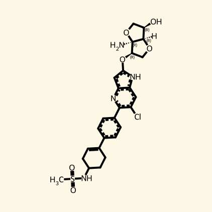 CS(=O)(=O)NC1CC=C(c2ccc(-c3nc4cc(O[C@@H]5CO[C@@H]6[C@H](O)CO[C@@]65N)[nH]c4cc3Cl)cc2)CC1